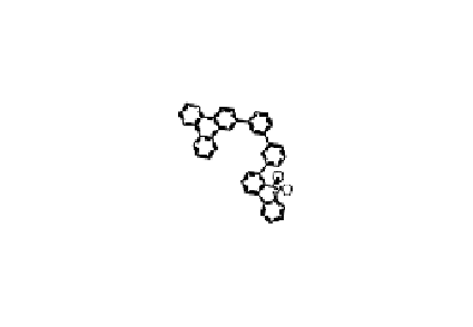 O=S1(=O)c2ccccc2-c2cccc(-c3cccc(-c4cccc(-c5ccc6c7ccccc7c7ccccc7c6c5)c4)c3)c21